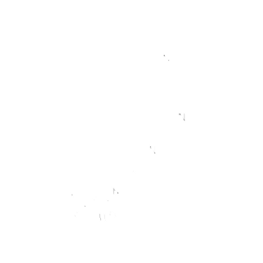 CC(C)(C)OC(=O)N1CCC2(CC1)CCN(c1ccnc(C#CCN3CCCCCC3)c1)CC2